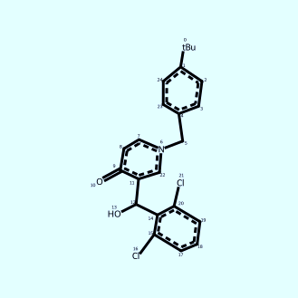 CC(C)(C)c1ccc(Cn2ccc(=O)c(C(O)c3c(Cl)cccc3Cl)c2)cc1